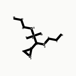 CCCOC(C1CO1)[Si](C)(C)OCCC